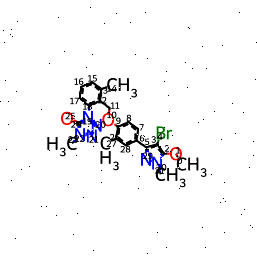 COc1c(Br)c(-c2ccc(OCc3c(C)cccc3-n3nnn(C)c3=O)c(C)c2)nn1C